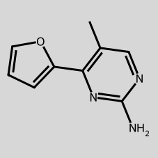 Cc1cnc(N)nc1-c1ccco1